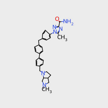 Cc1nc(C(N)=O)nn1-c1ccc(Cc2ccc(-c3ccc(CN4CCC5CN(C)CC54)cc3)cc2)cc1